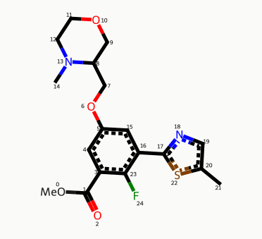 COC(=O)c1cc(OCC2COCCN2C)cc(-c2ncc(C)s2)c1F